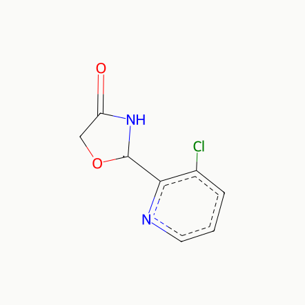 O=C1CO[C](c2ncccc2Cl)N1